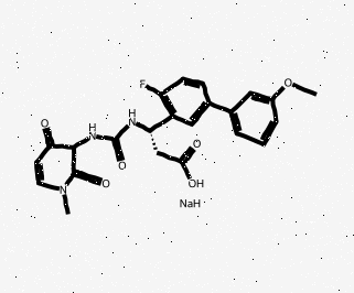 COc1cccc(-c2ccc(F)c([C@H](CC(=O)O)NC(=O)NC3C(=O)C=CN(C)C3=O)c2)c1.[NaH]